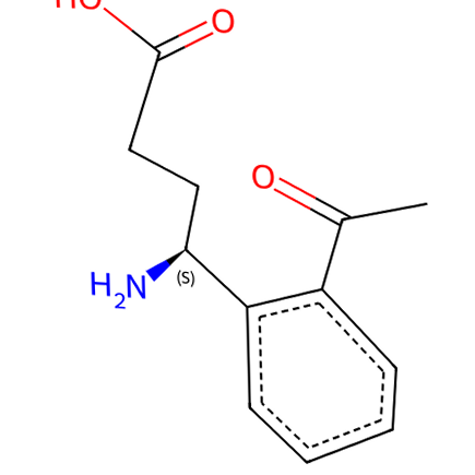 CC(=O)c1ccccc1[C@@H](N)CCC(=O)O